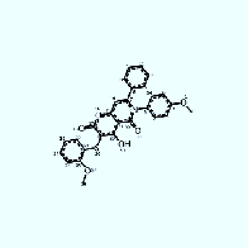 COc1ccc(-n2c(-c3ccccc3)cc3oc(=O)c(Sc4ccccc4OC)c(O)c3c2=O)cc1